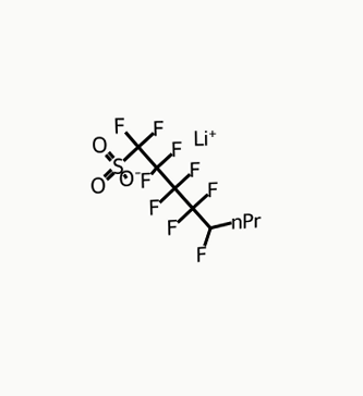 CCCC(F)C(F)(F)C(F)(F)C(F)(F)C(F)(F)S(=O)(=O)[O-].[Li+]